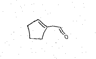 O=[C]C1=CCCC1